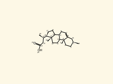 C[C@H]1CC[C@@]2(C)C(=CCC3C2CC[C@@]2(C)C3CC[C@@H]2[C@H](C)CC(=O)O)C1